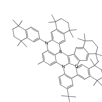 Cc1cc2c3c(c1)N(c1ccc(C(C)(C)C)cc1-c1ccc4c(c1)C(C)(C)CCC4(C)C)c1oc4cc5c(cc4c1B3c1cc3c(cc1N2c1ccc2c(c1)C(C)(C)CCC2(C)C)C(C)(C)CCC3(C)C)C(C)(C)CCC5(C)C